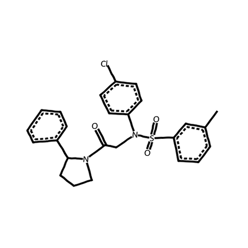 Cc1cccc(S(=O)(=O)N(CC(=O)N2CCCC2c2ccccc2)c2ccc(Cl)cc2)c1